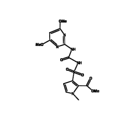 COC(=O)c1c(S(=O)(=O)NC(=O)Nc2nc(OC)cc(OC)n2)ccn1C